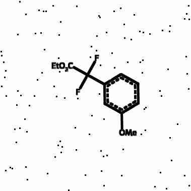 CCOC(=O)C(F)(F)c1cccc(OC)c1